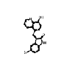 O=C1Nc2ccc(Br)cc2C1=Cc1ccc(O)c2ncccc12